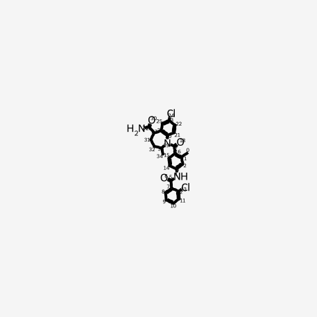 Cc1cc(NC(=O)c2ccccc2Cl)ccc1C(=O)N1c2ccc(Cl)cc2C(C(N)=O)CCC1C